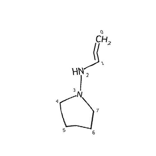 C=CNN1CCCC1